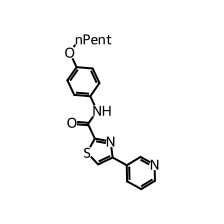 CCCCCOc1ccc(NC(=O)c2nc(-c3cccnc3)cs2)cc1